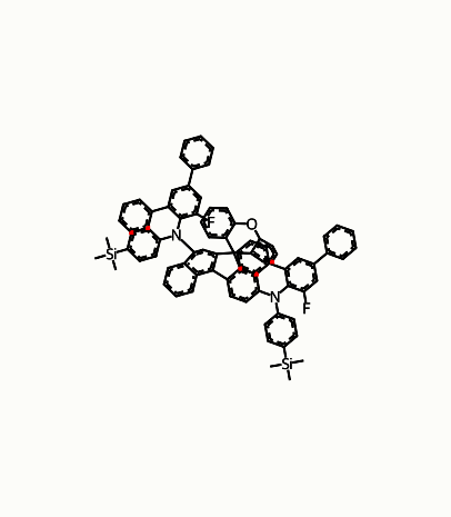 C[Si](C)(C)c1ccc(N(c2ccc3c(c2)C2(c4ccccc4Oc4ccccc42)c2cc(N(c4ccc([Si](C)(C)C)cc4)c4c(F)cc(-c5ccccc5)cc4-c4ccccc4)c4ccccc4c2-3)c2c(F)cc(-c3ccccc3)cc2-c2ccccc2)cc1